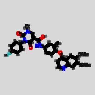 CCn1cc(C(=O)Nc2ccc(Oc3ccnc4cc(OC)c(OC)cc34)c(C)c2)c(=O)n(-c2ccc(F)cc2)c1=O